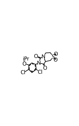 CC(C)Oc1cc(N2C(=O)C3CS(=O)(=O)CCN3C2=O)c(Cl)cc1Cl